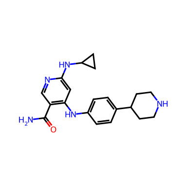 NC(=O)c1cnc(NC2CC2)cc1Nc1ccc(C2CCNCC2)cc1